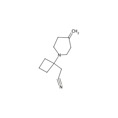 C=C1CCN(C2(CC#N)CCC2)CC1